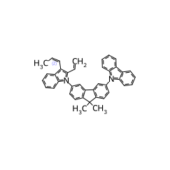 C=Cc1c(/C=C\C)c2ccccc2n1-c1ccc2c(c1)-c1cc(-n3c4ccccc4c4ccccc43)ccc1C2(C)C